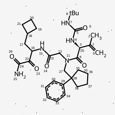 C=C(C)[C@H](NC(=O)NC(C)(C)C)C(=O)N(CC(=O)NC(CC1CCC1)C(=O)C(N)=O)CC1(c2ccccc2)CCCC1